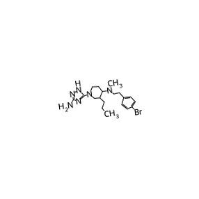 CCCC1CN(c2nc(N)n[nH]2)CCC1N(C)CCc1ccc(Br)cc1